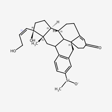 C[S+]([O-])c1ccc2c(c1)C[C@]13CCC(=O)C=C1CC[C@@H]1C3C2C[C@@]2(C)[C@H]1CC[C@@]2(O)/C=C\CO